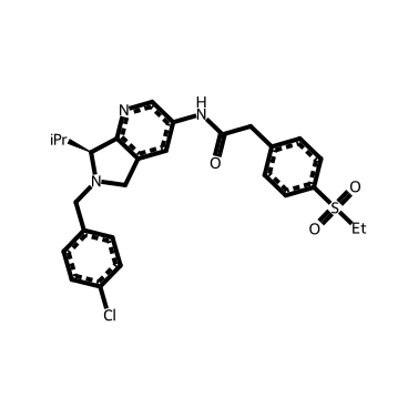 CCS(=O)(=O)c1ccc(CC(=O)Nc2cnc3c(c2)CN(Cc2ccc(Cl)cc2)[C@H]3C(C)C)cc1